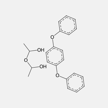 CC(O)OC(C)O.c1ccc(Oc2ccc(Oc3ccccc3)cc2)cc1